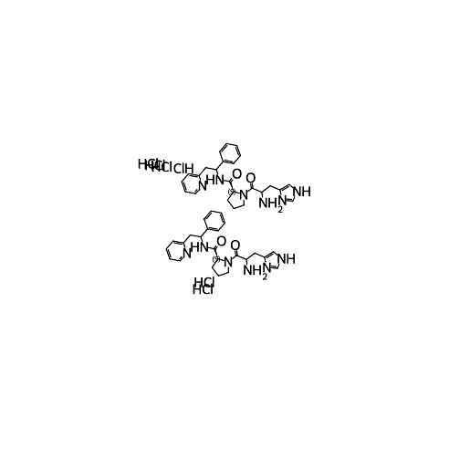 Cl.Cl.Cl.Cl.Cl.Cl.NC(Cc1c[nH]cn1)C(=O)N1CCC[C@H]1C(=O)NC(Cc1ccccn1)c1ccccc1.NC(Cc1c[nH]cn1)C(=O)N1CCC[C@H]1C(=O)NC(Cc1ccccn1)c1ccccc1